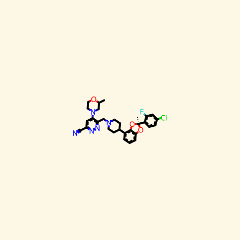 CC1CN(c2cc(C#N)nnc2CN2CCC(c3cccc4c3O[C@@](C)(c3ccc(Cl)cc3F)O4)CC2)CCO1